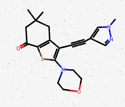 Cn1cc(C#Cc2c(N3CCOCC3)sc3c2CC(C)(C)CC3=O)cn1